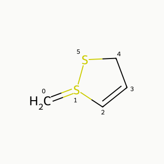 C=S1C=CCS1